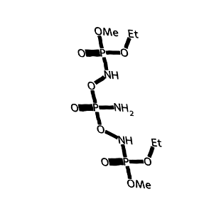 CCOP(=O)(NOP(N)(=O)ONP(=O)(OC)OCC)OC